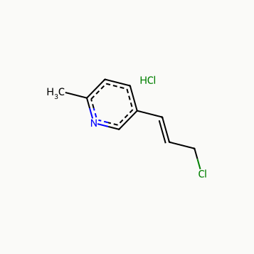 Cc1ccc(C=CCCl)cn1.Cl